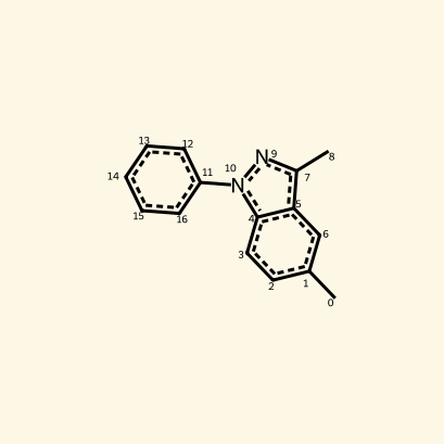 Cc1ccc2c(c1)c(C)nn2-c1ccccc1